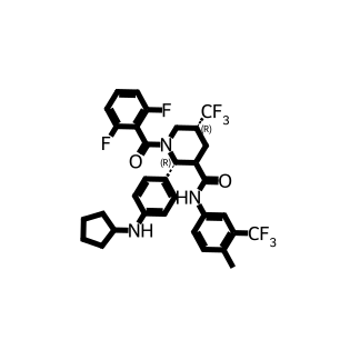 Cc1ccc(NC(=O)C2C[C@@H](C(F)(F)F)CN(C(=O)c3c(F)cccc3F)[C@H]2c2ccc(NC3CCCC3)cc2)cc1C(F)(F)F